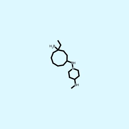 BC1(CC)CCCCCC(BN2CCC(BC)CC2)CC1